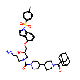 Cc1ccc(S(=O)(=O)n2ccc3c(OCC(O)CN(CCCN)C(=O)N4CCC(C5CCN(C(=O)C67CC8CC(CC(C8)C6)C7)CC5)CC4)cccc32)cc1